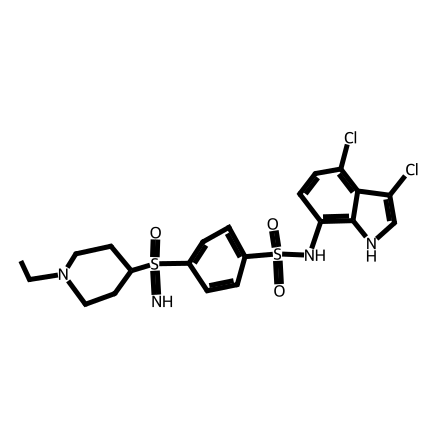 CCN1CCC(S(=N)(=O)c2ccc(S(=O)(=O)Nc3ccc(Cl)c4c(Cl)c[nH]c34)cc2)CC1